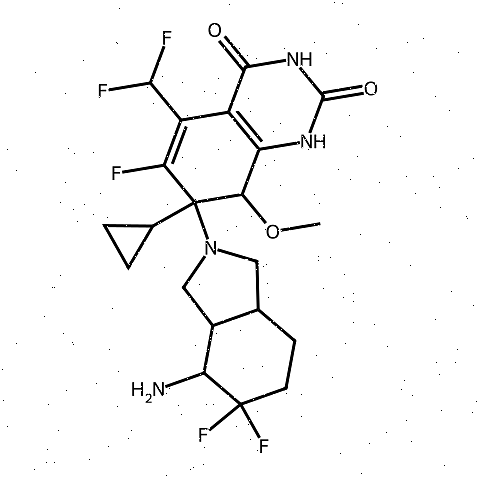 COC1c2[nH]c(=O)[nH]c(=O)c2C(C(F)F)=C(F)C1(C1CC1)N1CC2CCC(F)(F)C(N)C2C1